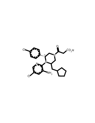 Nc1cc(Cl)cnc1N1C(CC2CCCC2)CN(C(=O)CC(=O)O)C[C@H]1c1ccc(Cl)cc1